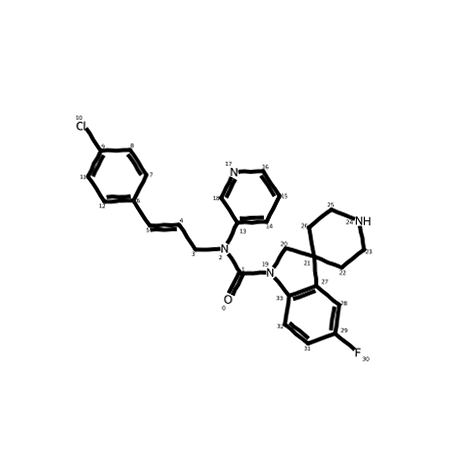 O=C(N(CC=Cc1ccc(Cl)cc1)c1cccnc1)N1CC2(CCNCC2)c2cc(F)ccc21